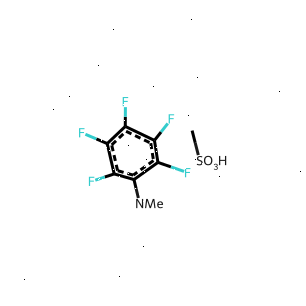 CNc1c(F)c(F)c(F)c(F)c1F.CS(=O)(=O)O